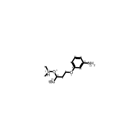 C[SiH](C)OC(CCOc1cccc(N)c1)C(C)(C)C